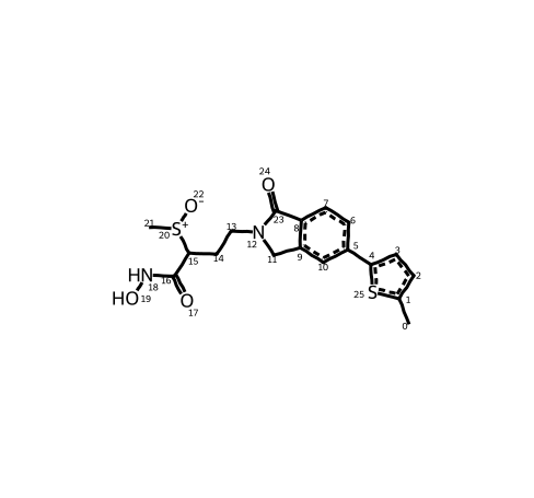 Cc1ccc(-c2ccc3c(c2)CN(CCC(C(=O)NO)[S+](C)[O-])C3=O)s1